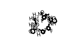 Cc1cc2c(C(N)=O)cc(F)cc2n1-c1nc(NCc2cccc(F)c2)c2c(n1)OCCCC2.O=C(Nc1nc2c(c(NCc3cccc(F)c3)n1)CCCOC2)c1c[nH]cn1